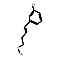 CC(C)c1cccc(/C=C/CCOC(C)(C)C)c1